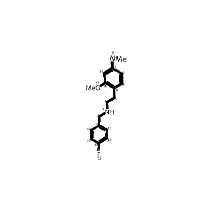 CNc1ccc(CCNCc2ccc(F)cc2)c(OC)c1